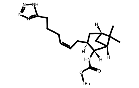 CC(C)(C)OC(=O)N[C@@H]1[C@@H](C/C=C\CCCc2nnn[nH]2)C[C@H]2C[C@@H]1C2(C)C